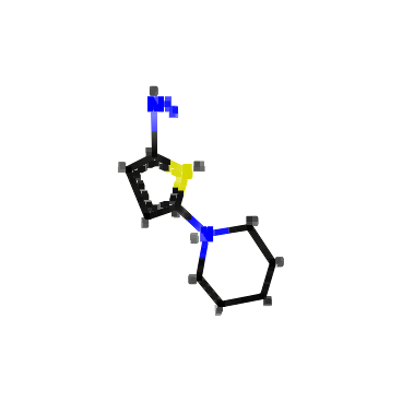 Nc1ccc(N2CCCCC2)s1